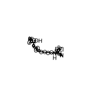 COc1cc(C(CC(=O)O)c2ccc(C)c(CN(C)S(=O)(=O)c3ccc(OCCOCCOCCOCCNc4nc(N5CCN(C)CC5)c5cc(Cl)c(Br)c(F)c5n4)cc3)c2)cc2nnn(C)c12